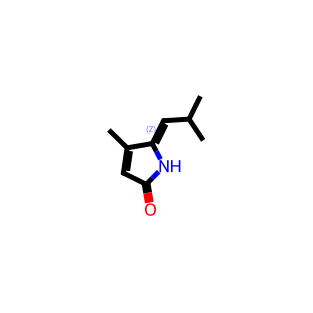 CC1=CC(=O)N/C1=C\C(C)C